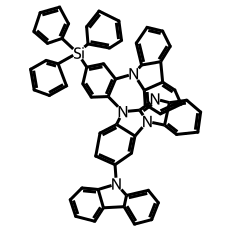 c1ccc([Si](c2ccccc2)(c2ccccc2)c2ccc(-n3c4ccc(-n5c6ccccc6c6ccccc65)cc4n4c5ccccc5nc34)c(-n3c4ccccc4c4ccccc43)c2)cc1